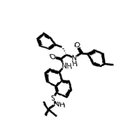 Cc1ccc(C(=O)N[C@@H](Cc2ccccc2)C(=O)Nc2cccc3c(SNC(C)(C)C)cccc23)cc1